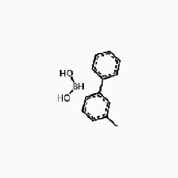 Cc1cccc(-c2ccccc2)c1.OBO